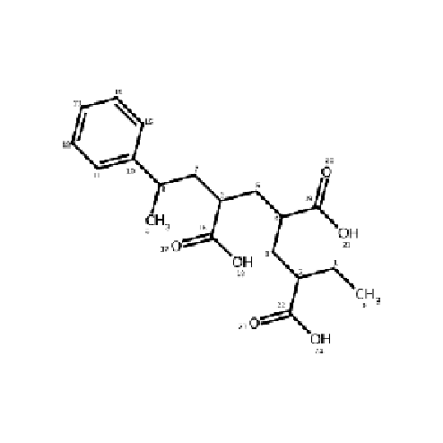 CCC(CC(CC(CC(C)c1ccccc1)C(=O)O)C(=O)O)C(=O)O